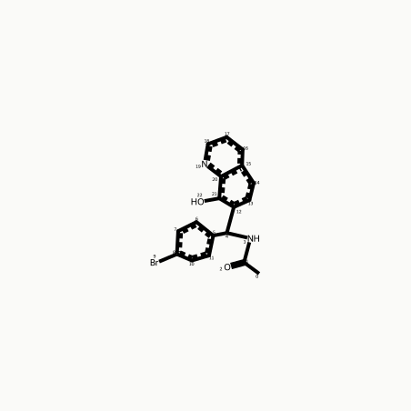 CC(=O)NC(c1ccc(Br)cc1)c1ccc2cccnc2c1O